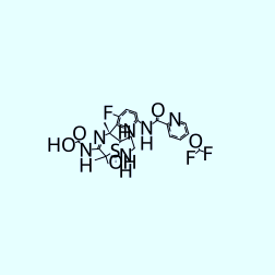 CC1(C)C(NC(=O)O)=N[C@](C)(c2nc(NC(=O)c3ccc(OC(F)F)cn3)ccc2F)[C@H]2CCN[S@]21O